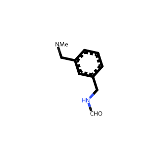 CNCc1cccc(CNC=O)c1